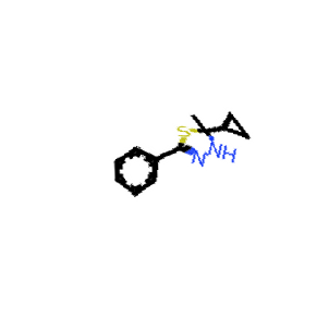 CC1(C2CC2)NN=C(c2ccccc2)S1